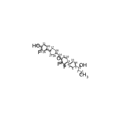 CCCC(O)c1ccc(-c2ccc(OCC3CCC(c4ccc(O)c(F)c4)CC3)c(F)c2F)cc1